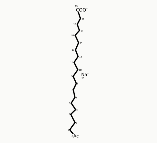 CC(=O)CCCCCCCCCCCCCCCCCCC(=O)[O-].[Na+]